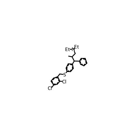 CCN(CC)CC(C)C(c1ccccc1)c1ccc(SCc2ccc(Cl)cc2Cl)cc1